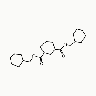 O=C(OCC1CCCCC1)C1CCCC(C(=O)OCC2CCCCC2)C1